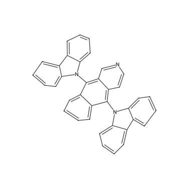 c1ccc2c(-n3c4ccccc4c4ccccc43)c3cnccc3c(-n3c4ccccc4c4ccccc43)c2c1